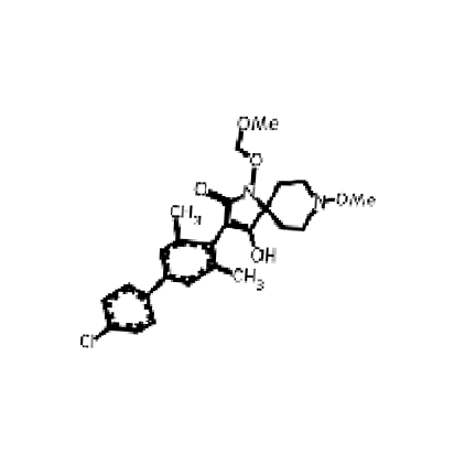 COCON1C(=O)C(c2c(C)cc(-c3ccc(Cl)cc3)cc2C)=C(O)C12CCN(OC)CC2